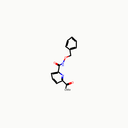 COC(=O)c1cccc(C(=O)NOCc2ccccc2)n1